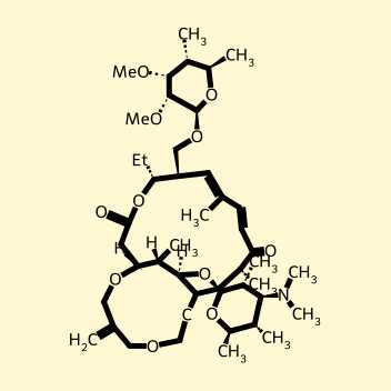 C=C1COCCC2C[C@@H](C)C(=O)/C=C/C(C)=C/[C@H](CO[C@@H]3O[C@H](C)[C@@H](C)[C@@H](OC)[C@H]3OC)[C@@H](CC)OC(=O)C[C@@H](OC1)[C@H](C)[C@H]2O[C@@H]1O[C@H](C)[C@@H](C)[C@H](N(C)C)[C@H]1C